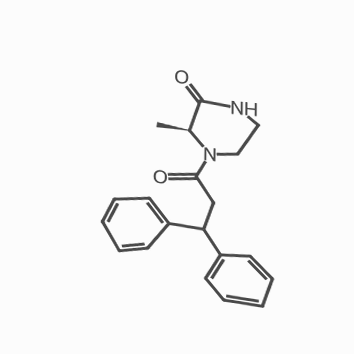 C[C@H]1C(=O)NCCN1C(=O)CC(c1ccccc1)c1ccccc1